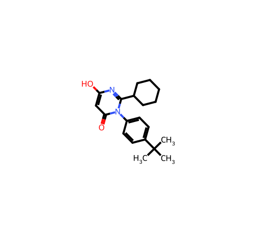 CC(C)(C)c1ccc(-n2c(C3CCCCC3)nc(O)cc2=O)cc1